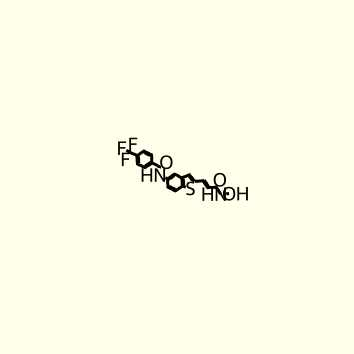 O=C(/C=C/c1cc2cc(NC(=O)c3ccc(C(F)(F)F)cc3)ccc2s1)NO